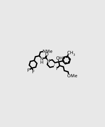 CNCC(CC1CCC(F)(F)CC1)NC(=O)N1CCC[C@@H]([C@](O)(c2cccc(C)c2)C(I)CCCOC)C1